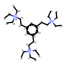 CC[N+](CC)(CC)CCc1cc(CC[N+](CC)(CC)CC)cc(CC[N+](CC)(CC)CC)c1